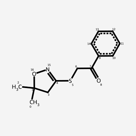 CC1(C)CC(SCC(=O)c2ccccc2)=NO1